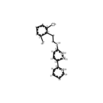 Fc1cccc(Cl)c1CCSc1ccc(-c2ccccn2)nn1